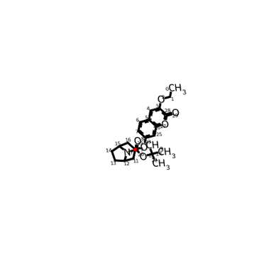 CCOc1cc2ccc(OC3CC4CCC(C3)N4C(=O)OC(C)(C)C)cc2oc1=O